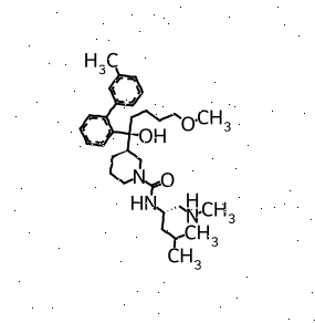 CNC[C@H](CC(C)C)NC(=O)N1CCC[C@@H]([C@@](O)(CCCCOC)c2ccccc2-c2cccc(C)c2)C1